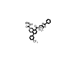 Cc1sc(-c2ccccc2)nc1CNC(=O)c1ccc(-c2cccc(C(F)(F)F)c2)c2c1CN(C(=O)NC(C)(C)C)CC2